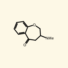 CNC1COc2ccccc2C(=O)C1